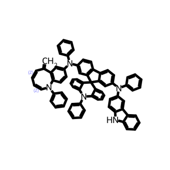 C=C1/C=C\C=C/N(c2ccccc2)c2ccc(N(c3ccccc3)c3ccc4c(c3)C3(c5cc(N(c6ccccc6)c6ccc7[nH]c8ccccc8c7c6)ccc5-4)c4ccccc4N(c4ccccc4)c4ccccc43)cc21